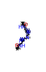 CN(CCn1cc(CCNC(=O)C2(C)CC2)nn1)CCn1cc(CCNC(=O)C2(C)CC2)nn1